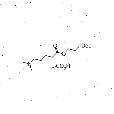 CC(=O)O.CCCCCCCCCCCCOC(=O)CCCCN(C)C